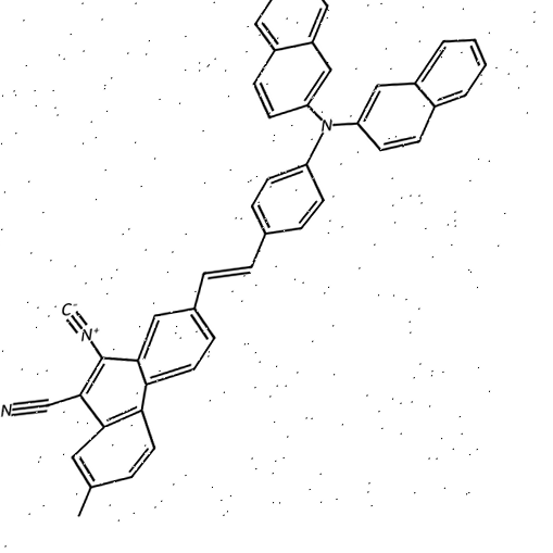 [C-]#[N+]c1c(C#N)c2cc(C)ccc2c2ccc(C=Cc3ccc(N(c4ccc5ccccc5c4)c4ccc5ccccc5c4)cc3)cc12